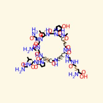 CC[C@H](C)[C@@H]1NC(=O)[C@H](Cc2ccc(O)cc2)NC(=O)[C@@H](NC(C)=O)CSCC(=O)N[C@@H](C(=O)NCCNC(=O)CSC[C@H](N)C(=O)O)CCCNC(=O)CSC[C@@H](C(=O)N2CCC[C@H]2C(=O)N[C@@H](CC(C)C)C(=O)NCC(N)=O)NC(=O)[C@H](CC(N)=O)NC(=O)[C@H](CCC(N)=O)NC1=O